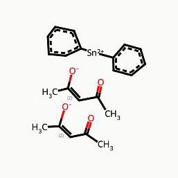 CC(=O)/C=C(/C)[O-].CC(=O)/C=C(/C)[O-].c1cc[c]([Sn+2][c]2ccccc2)cc1